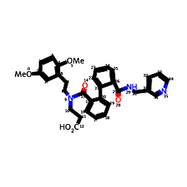 COc1ccc(OC)c(CCN(CCC(=O)O)C(=O)c2ccccc2-c2ccccc2C(=O)NCc2cccnc2)c1